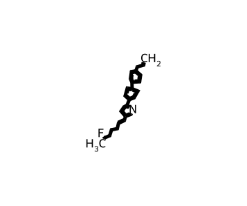 C=CCc1ccc(-c2ccc(-c3ccc(/C=C/CCCC(C)F)cn3)cc2)cc1